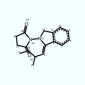 CCC(C)C=C1c2ccccc2CN1N1C(=O)CCC1=O